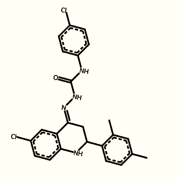 Cc1ccc(C2CC(=NNC(=O)Nc3ccc(Cl)cc3)c3cc(Cl)ccc3N2)c(C)c1